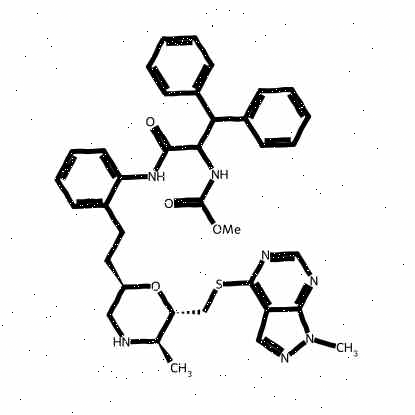 COC(=O)NC(C(=O)Nc1ccccc1CC[C@@H]1CN[C@H](C)[C@@H](CSc2ncnc3c2cnn3C)O1)C(c1ccccc1)c1ccccc1